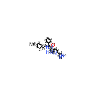 Cn1cc(-c2ccc3c(C(=O)[C@@H](NCCc4ccc(C#N)cc4)c4ccccc4)c[nH]c3n2)cn1